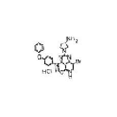 Cl.NC1CCN(c2nc(Nc3ccc(Oc4ccccc4)cc3)c3c(=O)[nH]cc(Br)c3n2)C1